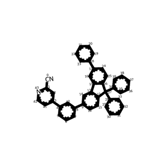 N#Cc1cc(-c2cccc(-c3ccc4c(c3)-c3cc(-c5ccccc5)ccc3C4(c3ccccc3)c3ccccc3)c2)ccn1